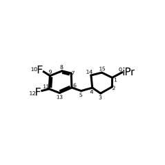 CC(C)C1CCC(Cc2ccc(F)c(F)c2)CC1